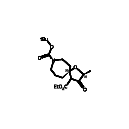 CCOC(=O)C1C(=O)[C@H](C)O[C@@]12CCCN(C(=O)OC(C)(C)C)CC2